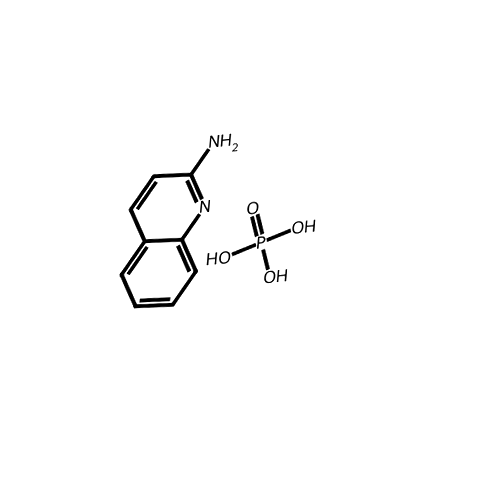 Nc1ccc2ccccc2n1.O=P(O)(O)O